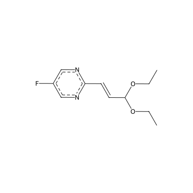 CCOC(C=Cc1ncc(F)cn1)OCC